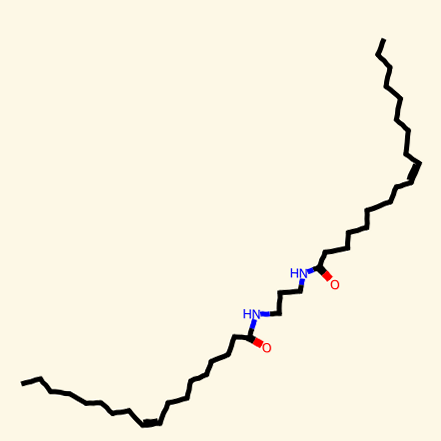 CCCCCCCC/C=C\CCCCCCCC(=O)NCCCNC(=O)CCCCCCC/C=C\CCCCCCCC